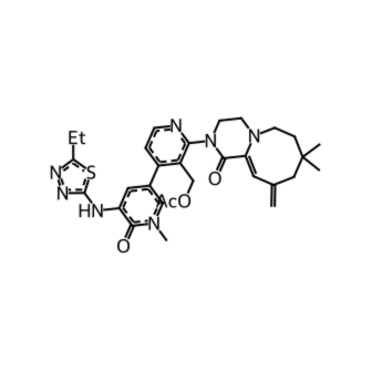 C=C1/C=C2/C(=O)N(c3nccc(-c4cc(Nc5nnc(CC)s5)c(=O)n(C)c4)c3COC(C)=O)CCN2CCC(C)(C)C1